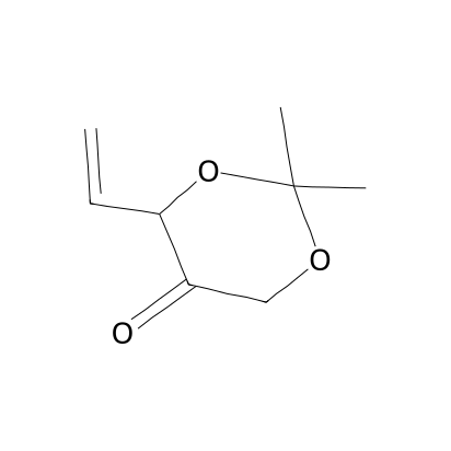 C=CC1OC(C)(C)OCC1=O